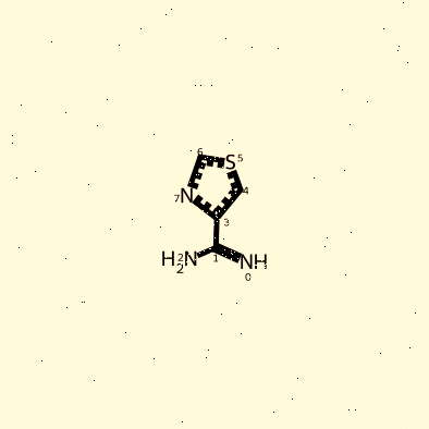 N=C(N)c1cscn1